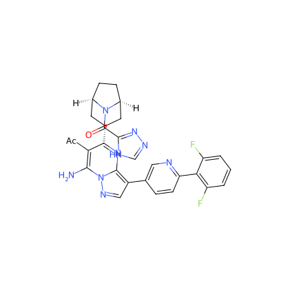 CC(=O)c1c([C@@H]2C[C@H]3CC[C@@H](C2)N3C(=O)c2nnc[nH]2)nc2c(-c3ccc(-c4c(F)cccc4F)nc3)cnn2c1N